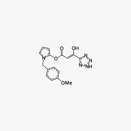 COc1ccc(Cn2cccc2OC(=O)C=C(O)c2nn[nH]n2)cc1